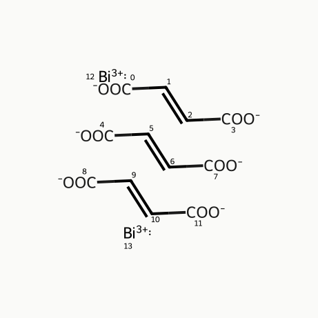 O=C([O-])C=CC(=O)[O-].O=C([O-])C=CC(=O)[O-].O=C([O-])C=CC(=O)[O-].[Bi+3].[Bi+3]